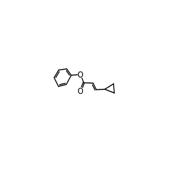 O=C(C=CC1CC1)Oc1ccccc1